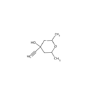 C#CC1(O)CC(C)OC(C)C1